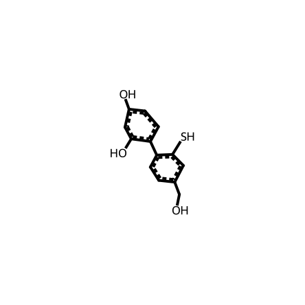 OCc1ccc(-c2ccc(O)cc2O)c(S)c1